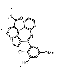 COc1cc(O)c(Cl)c(C2=Nc3ccccc3-c3c(C(N)=O)cnn4ccc2c34)c1